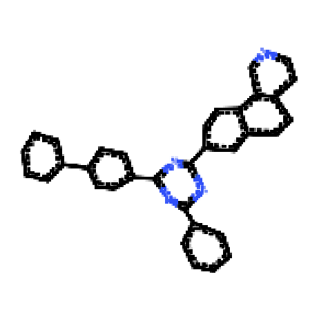 c1ccc(-c2ccc(-c3nc(-c4ccccc4)nc(-c4ccc5c(ccc6ccncc65)c4)n3)cc2)cc1